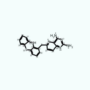 Nc1nc(N)c2nc(Cc3cccc4c3Nc3ccccc3S4)ccc2n1